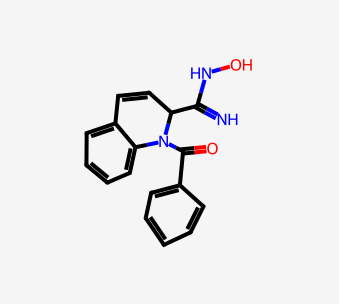 N=C(NO)C1C=Cc2ccccc2N1C(=O)c1ccccc1